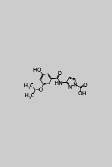 CC(C)Oc1cc(O)cc(C(=O)Nc2ccn(C(=O)O)n2)c1